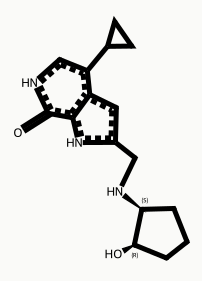 O=c1[nH]cc(C2CC2)c2cc(CN[C@H]3CCC[C@H]3O)[nH]c12